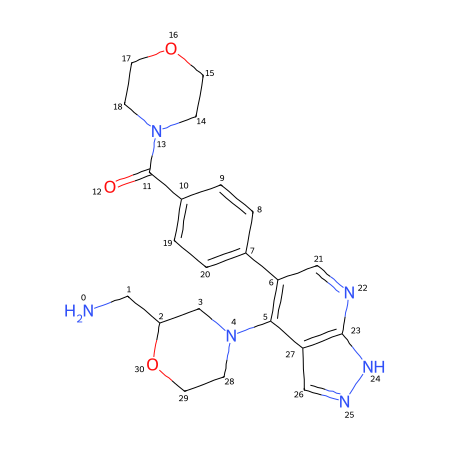 NCC1CN(c2c(-c3ccc(C(=O)N4CCOCC4)cc3)cnc3[nH]ncc23)CCO1